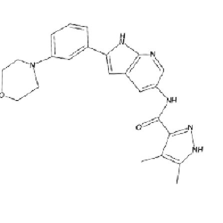 Cc1[nH]nc(C(=O)Nc2cnc3[nH]c(-c4cccc(N5CCOCC5)c4)cc3c2)c1C